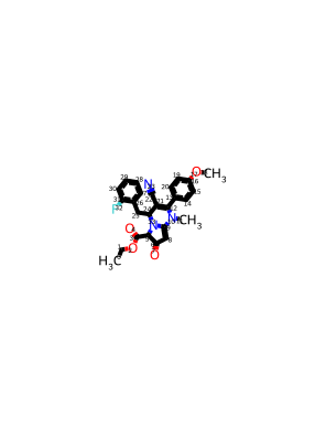 CCOC(=O)C1C(=O)C=C2N(C)C(c3ccc(OC)cc3)=C(C#N)C(Cc3ccccc3F)N21